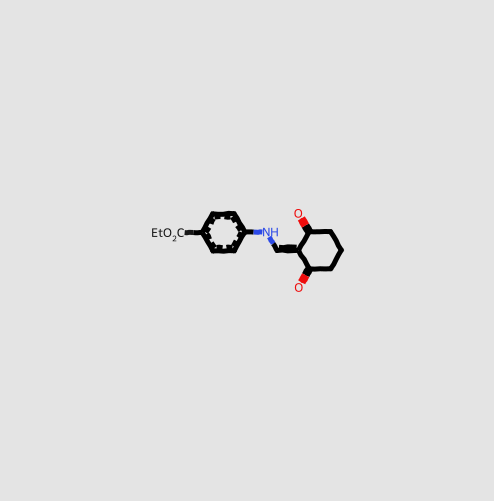 CCOC(=O)c1ccc(NC=C2C(=O)CCCC2=O)cc1